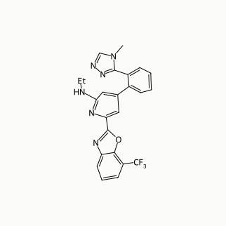 CCNc1cc(-c2ccccc2-c2nncn2C)cc(-c2nc3cccc(C(F)(F)F)c3o2)n1